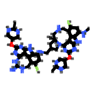 CNc1cc(F)c2c3c1[nH]c1nc(Oc4cnc(C)nc4)nc(c13)N1CC(CNc3cc(F)c4c5c3[nH]c3nc(Oc6cnc(C)nc6)nc(c35)NC(=N)NC4)C[C@H]1CNC2